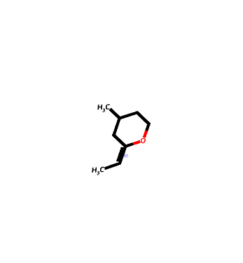 C/C=C1\CC(C)CCO1